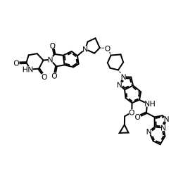 O=C1CCC(N2C(=O)c3ccc(N4CC[C@H](O[C@H]5CC[C@@H](n6cc7cc(NC(=O)c8cnn9cccnc89)c(OCC8CC8)cc7n6)CC5)C4)cc3C2=O)C(=O)N1